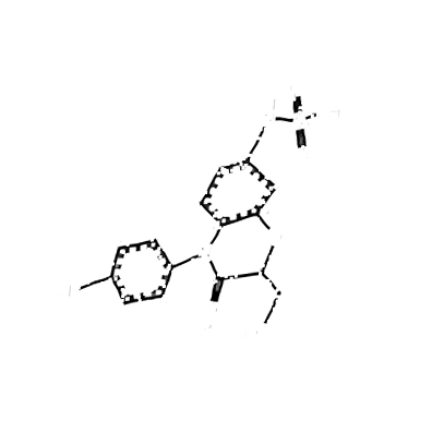 CCC1Oc2cc(NS(C)(=O)=O)ccc2N(c2ccc(F)cc2)C1=O